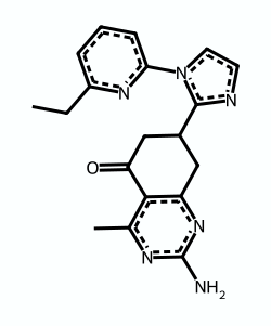 CCc1cccc(-n2ccnc2C2CC(=O)c3c(C)nc(N)nc3C2)n1